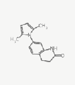 Cc1ccc(C)n1-c1ccc2c(c1)NC(=O)CC2